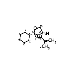 C=C(C)[C@H]1C[C@@]2(C3CCCCC3)OC[C@@H]1O2